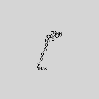 CC(=O)NCCOCCOCCOCCOCCOCCNc1cccc2c1C(=O)N(C1CCC(=O)NC1=O)C2=O